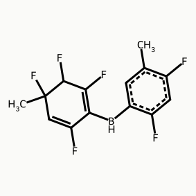 Cc1cc(BC2=C(F)C(F)C(C)(F)C=C2F)c(F)cc1F